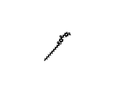 CCCCCCCCC=CCCCCCCCC(=O)Oc1ccc(C(=O)C=Cc2ccc(OC)cc2)cc1